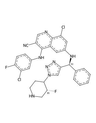 N#Cc1cnc2c(Cl)cc(N[C@@H](c3ccccc3)c3cn(C4CCNC[C@H]4F)nn3)cc2c1Nc1ccc(F)c(Cl)c1